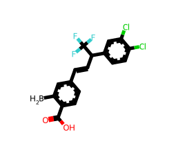 Bc1cc(/C=C/C(c2ccc(Cl)c(Cl)c2)C(F)(F)F)ccc1C(=O)O